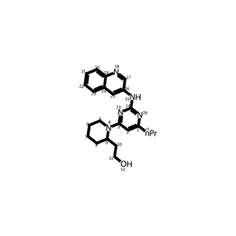 CCCc1cc(N2CCCCC2CCO)nc(Nc2cnc3ccccc3c2)n1